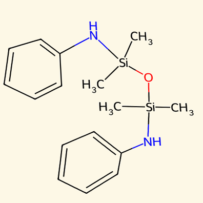 C[Si](C)(Nc1ccccc1)O[Si](C)(C)Nc1ccccc1